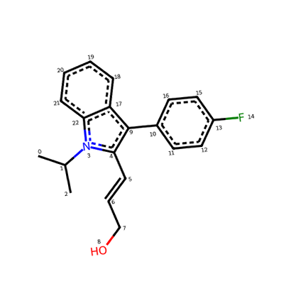 CC(C)n1c(C=CCO)c(-c2ccc(F)cc2)c2ccccc21